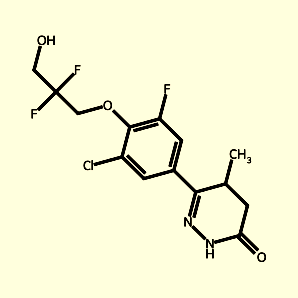 CC1CC(=O)NN=C1c1cc(F)c(OCC(F)(F)CO)c(Cl)c1